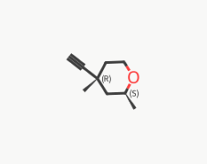 C#C[C@]1(C)CCO[C@@H](C)C1